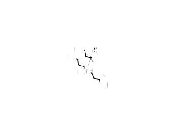 CCCC(=O)O.CCCC(=O)O.CCCC(=O)O.[Rh].[Rh]